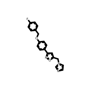 Fc1ccc(COc2ccc(-c3cc(Cn4ccnc4)on3)cc2)cc1